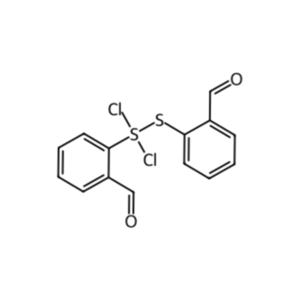 O=Cc1ccccc1SS(Cl)(Cl)c1ccccc1C=O